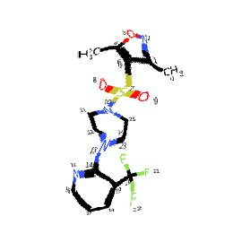 Cc1noc(C)c1S(=O)(=O)N1CCN(c2ncccc2C(F)(F)F)CC1